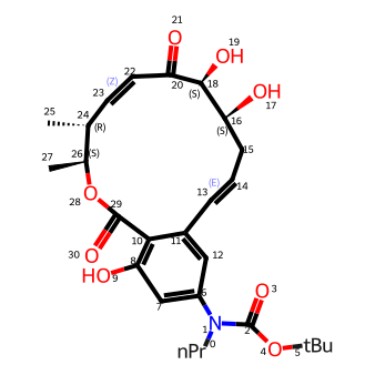 CCCN(C(=O)OC(C)(C)C)c1cc(O)c2c(c1)/C=C/C[C@H](O)[C@H](O)C(=O)/C=C\[C@@H](C)[C@H](C)OC2=O